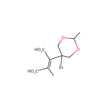 CCC1(C(C(=O)O)=C(C)C(=O)O)COC(C)OC1